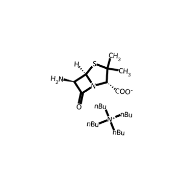 CC1(C)S[C@@H]2[C@H](N)C(=O)N2[C@H]1C(=O)[O-].CCCC[N+](CCCC)(CCCC)CCCC